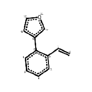 C=Cc1[c]cccc1-c1ccoc1